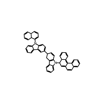 C1=CC2=c3c(ccc4ccccc34)=CC(n3c4c(c5ccccc53)CC(c3ccc5c(c3)c3ccccc3n5C3=CC=CC5C=CC=CC35)C=C4)C2C=C1